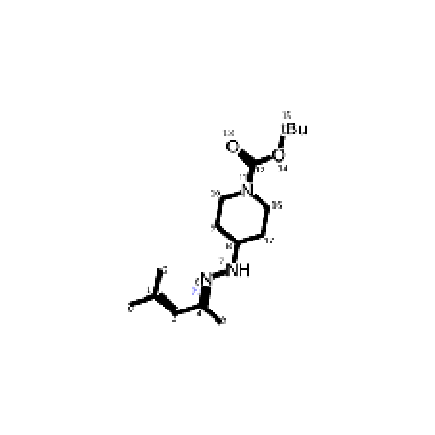 CC(C)=C/C(C)=N/NC1CCN(C(=O)OC(C)(C)C)CC1